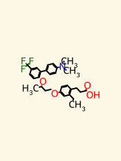 CCc1cc(OCCC(C)Oc2ccc(C(F)(F)F)cc2-c2ccc(N(C)C)cc2)ccc1CCC(=O)O